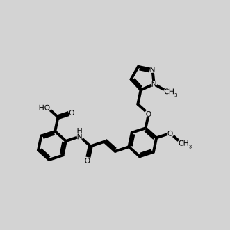 COc1ccc(/C=C/C(=O)Nc2ccccc2C(=O)O)cc1OCc1ccnn1C